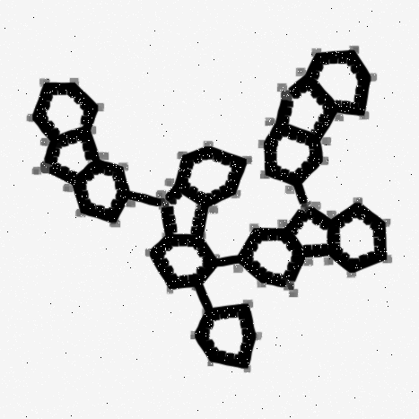 c1ccc(-c2ccc3c(c2-c2cnc4c5ccccc5n(-c5ccc6oc7ccccc7c6c5)c4c2)c2ccccc2n3-c2ccc3oc4ccccc4c3c2)cc1